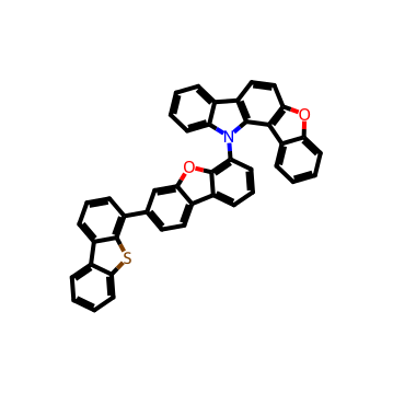 c1ccc2c(c1)oc1ccc3c4ccccc4n(-c4cccc5c4oc4cc(-c6cccc7c6sc6ccccc67)ccc45)c3c12